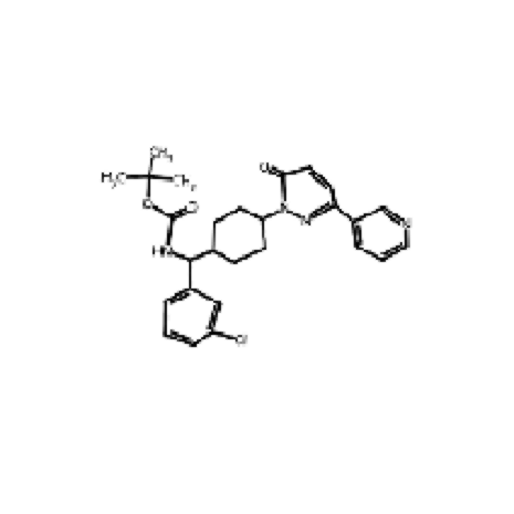 CC(C)(C)OC(=O)NC(c1cccc(Cl)c1)C1CCC(n2nc(-c3cccnc3)ccc2=O)CC1